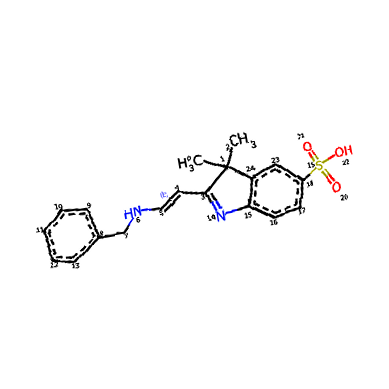 CC1(C)C(/C=C/NCc2ccccc2)=Nc2ccc(S(=O)(=O)O)cc21